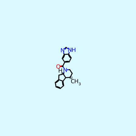 C[C@H]1CCN(C(=O)c2ccc3[nH]cnc3c2)[C@H]2Cc3ccccc3C12